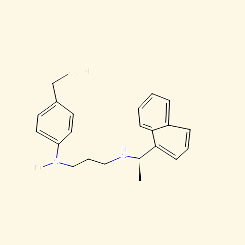 CCN(CCCN[C@H](C)c1cccc2ccccc12)c1ccc(CC(=O)O)cc1